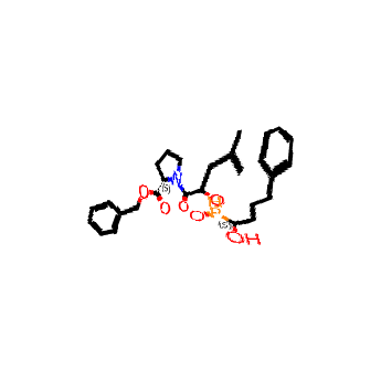 CC(C)CC(O[PH](=O)[C@H](O)CCCc1ccccc1)C(=O)N1CCC[C@H]1C(=O)OCc1ccccc1